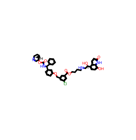 O=C(NC(c1ccccc1)c1cccc(OCc2cc(Cl)cc(C(=O)OCCCCNC[C@@H](O)c3ccc(O)c4[nH]c(=O)ccc34)c2)c1)O[C@H]1CN2CCC1CC2